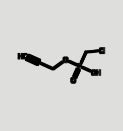 C#CCOP(=O)(O)CCl